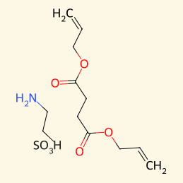 C=CCOC(=O)CCC(=O)OCC=C.NCCS(=O)(=O)O